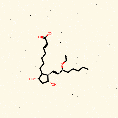 CCCCCC(/C=C/[C@@H]1C(CCCC/C=C/C(=O)O)[C@@H](O)C[C@H]1O)OCC